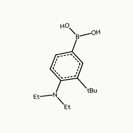 CCN(CC)c1ccc(B(O)O)cc1C(C)(C)C